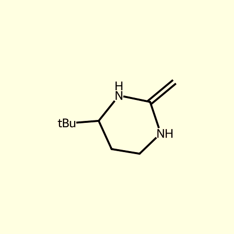 C=C1NCCC(C(C)(C)C)N1